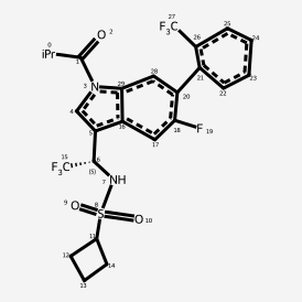 CC(C)C(=O)n1cc([C@H](NS(=O)(=O)C2CCC2)C(F)(F)F)c2cc(F)c(-c3ccccc3C(F)(F)F)cc21